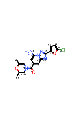 CC1CN(C(=O)c2cc(N)n3nc(-c4ccc(Cl)o4)nc3c2)CC(C)O1